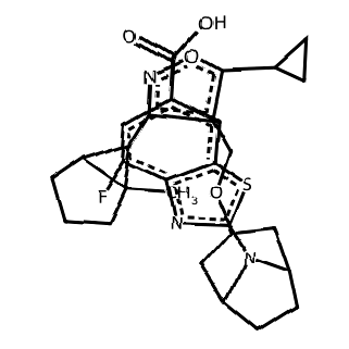 CC12CCCC1C2c1noc(C2CC2)c1COC1CC2CCC(C1)N2c1nc2c(F)cc(C(=O)O)cc2s1